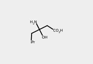 CC(C)CC(N)(O)CC(=O)O